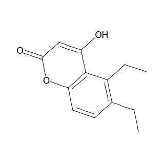 CCc1ccc2oc(=O)cc(O)c2c1CC